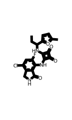 CCC(Nc1c(Nc2c(F)cc(Cl)c3c2C(=O)NC3)c(=O)c1=O)c1ccc(C)o1